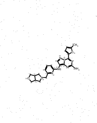 Cc1ccc(-c2nc(N)nc3c(Nc4cccc(CN5CC6COCC6C5)n4)cnn23)o1